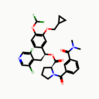 CN(C)C(=O)c1cccc(C(=O)N2CCC[C@H]2C(=O)O[C@@H](Cc2c(Cl)cncc2Cl)c2ccc(OC(F)F)c(OCC3CC3)c2)c1